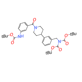 CC(C)(C)OC(=O)Nc1cccc(C(=O)N2CCC(c3cccc(CN(C(=O)OC(C)(C)C)C(=O)OC(C)(C)C)c3)CC2)c1